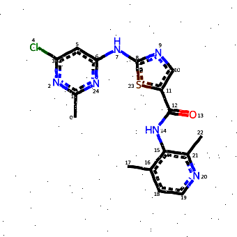 Cc1nc(Cl)cc(Nc2ncc(C(=O)Nc3c(C)ccnc3C)s2)n1